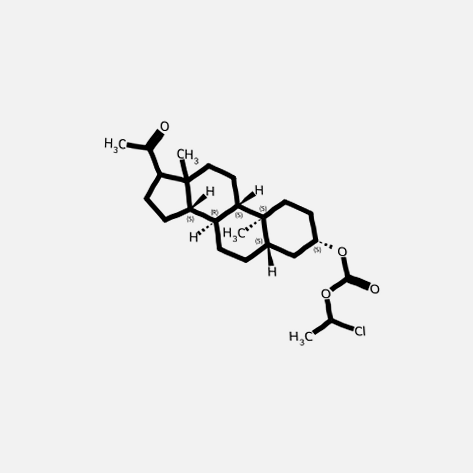 CC(=O)C1CC[C@H]2[C@@H]3CC[C@H]4C[C@@H](OC(=O)OC(C)Cl)CC[C@]4(C)[C@H]3CCC12C